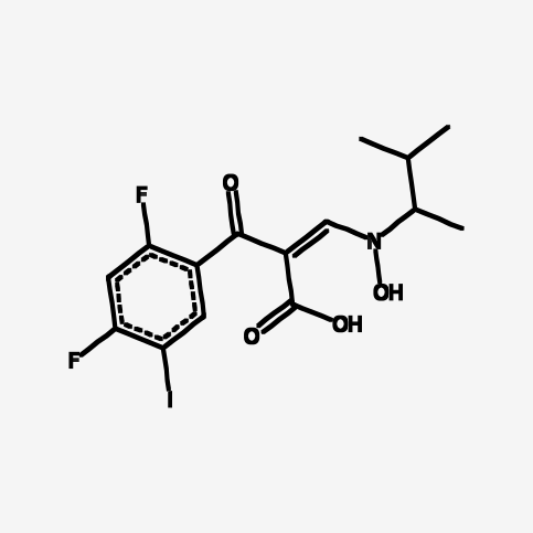 CC(C)C(C)N(O)C=C(C(=O)O)C(=O)c1cc(I)c(F)cc1F